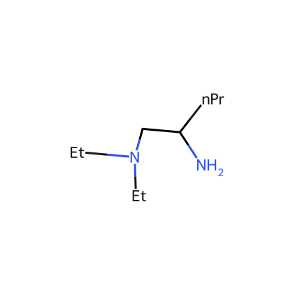 CCCC(N)CN(CC)CC